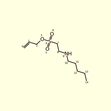 C=CCOS(=O)(=O)CCNCCCCC